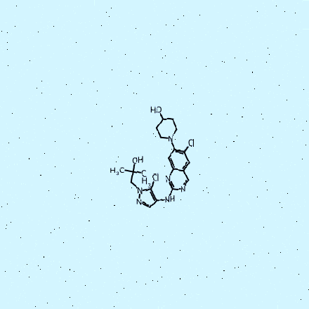 CC(C)(O)Cn1ncc(Nc2ncc3cc(Cl)c(N4CCC(O)CC4)cc3n2)c1Cl